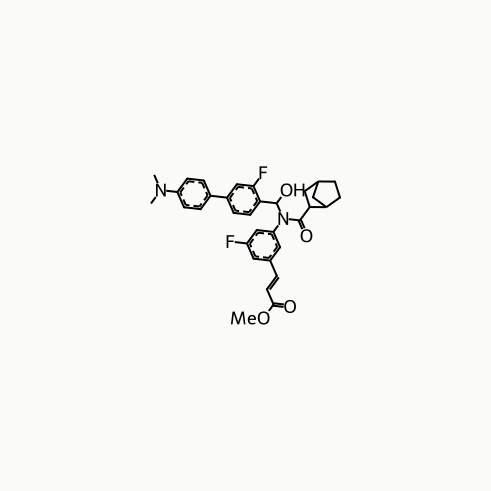 COC(=O)/C=C/c1cc(F)cc(N(C(=O)C2CC3CCC2C3)C(O)c2ccc(-c3ccc(N(C)C)cc3)cc2F)c1